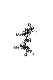 CN[C@@H](C)C(=O)N[C@@H](CCCCNC(=O)NCCCC[C@H](NC(=O)[C@H](C)NC)C(=O)N1CCC[C@H]1CN(CCc1ccccc1)C(=O)C(F)(F)F)C(=O)N1CCC[C@H]1CN(CCc1ccccc1)C(=O)C(F)(F)F